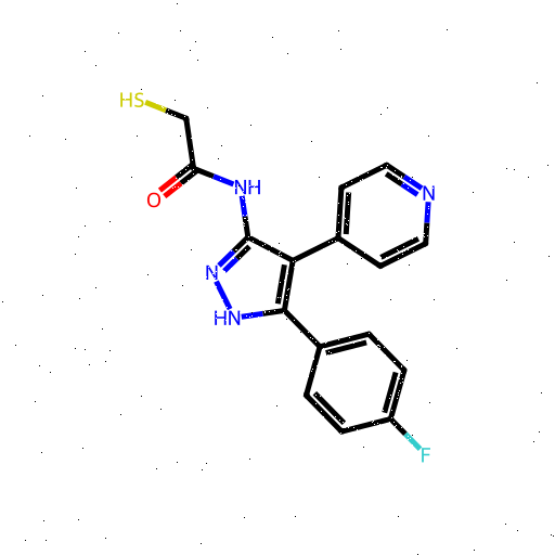 O=C(CS)Nc1n[nH]c(-c2ccc(F)cc2)c1-c1ccncc1